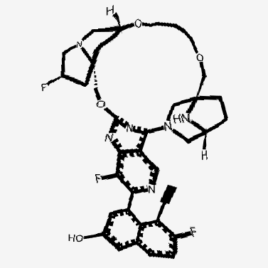 C#Cc1c(F)ccc2cc(O)cc(-c3ncc4c5nc(nc4c3F)OC[C@]34C[C@@H](F)CN3C[C@@H](C4)OCCCOC[C@]34CC[C@H](CN5C3)N4)c12